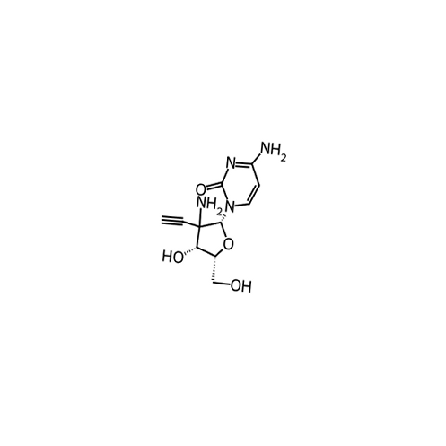 C#CC1(N)[C@@H](O)[C@@H](CO)O[C@H]1n1ccc(N)nc1=O